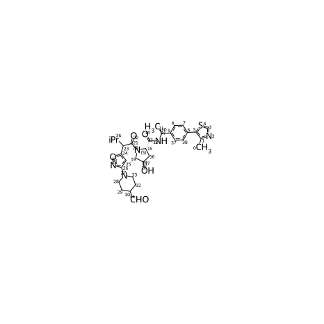 Cc1ncsc1-c1ccc([C@H](C)NC(=O)[C@@H]2C[C@@H](O)CN2C(=O)C(c2cc(N3CCC(C=O)CC3)no2)C(C)C)cc1